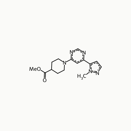 COC(=O)C1CCN(c2cc(-c3ccnn3C)ncn2)CC1